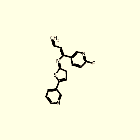 C=C/C=C(\N=C1/CC=C(c2cccnc2)S1)c1ccc(F)nc1